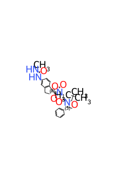 CNC(=O)Nc1ccc2c(c1)CC[C@@]21OC(=O)N(CC(=O)N2C(C(C)(C)C)OC[C@@H]2c2ccccc2)C1=O